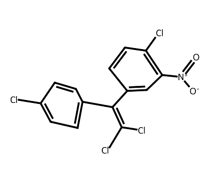 O=[N+]([O-])c1cc(C(=C(Cl)Cl)c2ccc(Cl)cc2)ccc1Cl